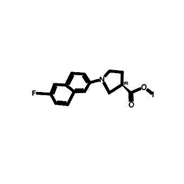 O=C(OI)[C@@H]1CCN(c2ccc3cc(F)ccc3c2)C1